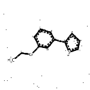 CCOc1cccc(-c2cccs2)c1